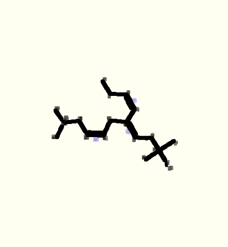 CC/C=C\C(=C/CC(C)(C)F)C/C=C\CN(C)C